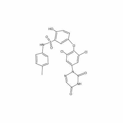 Cc1ccc(NS(=O)(=O)c2cc(Oc3c(Cl)cc(-n4ncc(=O)[nH]c4=O)cc3Cl)ccc2O)cc1